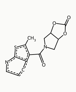 Cc1sc2ncccc2c1C(=O)N1CC2OC(=O)OC2C1